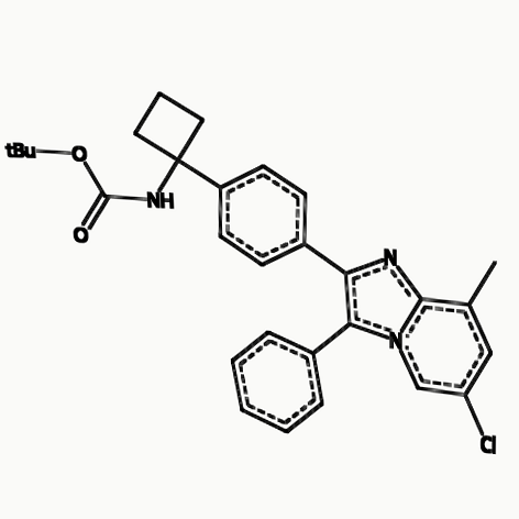 Cc1cc(Cl)cn2c(-c3ccccc3)c(-c3ccc(C4(NC(=O)OC(C)(C)C)CCC4)cc3)nc12